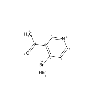 Br.CC(=O)c1cnccc1Br